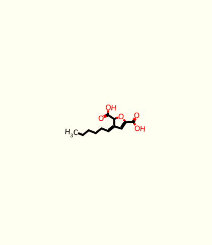 CCCCCC=C1C=C(C(=O)O)OC1C(=O)O